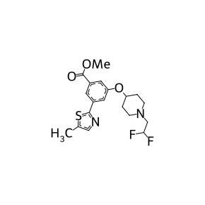 COC(=O)c1cc(OC2CCN(CC(F)F)CC2)cc(-c2ncc(C)s2)c1